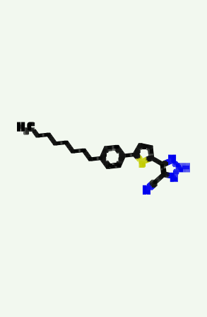 CCCCCCCCc1ccc(-c2ccc(-c3n[nH]nc3C#N)s2)cc1